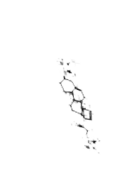 C[C@]12CC[C@H]3[C@@H](CC=C4CC(OS(=O)(=O)O)CC[C@@]43C)[C@@H]1CC[C@@H]2C(=O)COS(=O)(=O)O